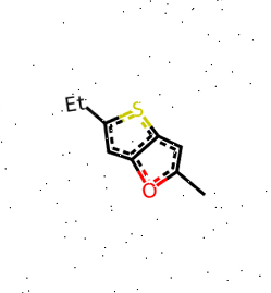 CCc1cc2oc(C)cc2s1